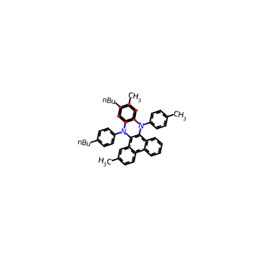 CCCCc1ccc(N(c2ccc(C)cc2)c2c(N(c3ccc(C)cc3)c3ccc(CCCC)cc3)c3cc(C)ccc3c3ccccc23)cc1